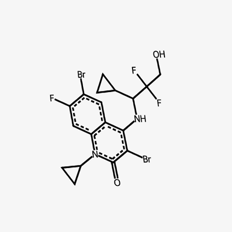 O=c1c(Br)c(NC(C2CC2)C(F)(F)CO)c2cc(Br)c(F)cc2n1C1CC1